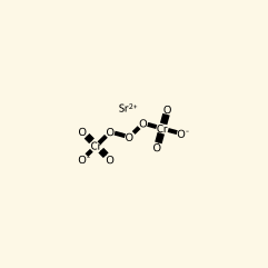 [O]=[Cr](=[O])([O-])[O]O[O][Cr](=[O])(=[O])[O-].[Sr+2]